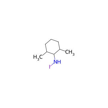 CC1CCCC(C)C1NI